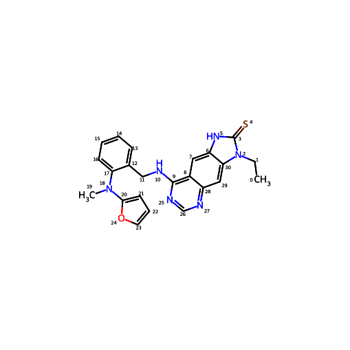 CCn1c(=S)[nH]c2cc3c(NCc4ccccc4N(C)c4ccco4)ncnc3cc21